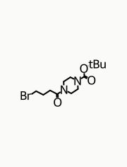 CC(C)(C)OC(=O)N1CCN(C(=O)CCCBr)CC1